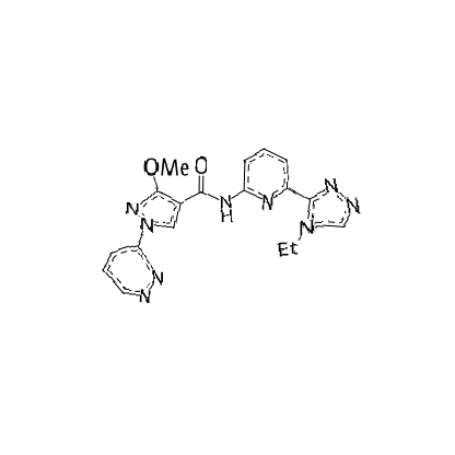 CCn1cnnc1-c1cccc(NC(=O)c2cn(-c3cccnn3)nc2OC)n1